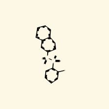 Cc1ccccc1S(=O)(=O)S(=O)(=O)c1ccc2ccccc2c1